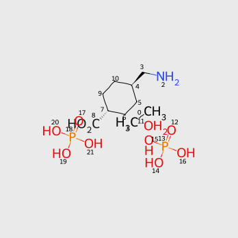 CC.NC[C@H]1CC[C@H](C(=O)O)CC1.O.O=P(O)(O)O.O=P(O)(O)O